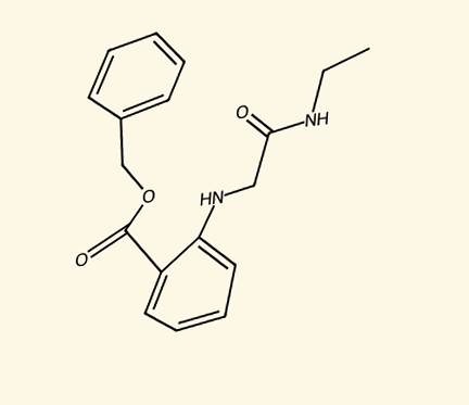 CCNC(=O)CNc1ccccc1C(=O)OCc1ccccc1